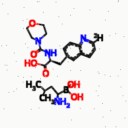 CC(C)C[C@H](N)B(O)O.[2H]c1ccc2cc(C[C@H](NC(=O)N3CCOCC3)C(=O)O)ccc2n1